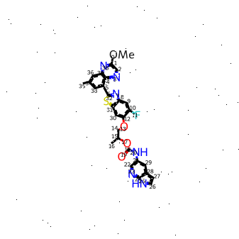 COc1cnc2c(-c3nc4cc(F)c(OCC(C)OC(=O)Nc5cnc6[nH]ccc6c5)cc4s3)cc(C)cc2n1